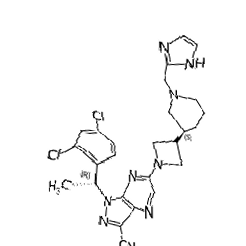 C[C@H](c1ccc(Cl)cc1Cl)n1nc(C#N)c2ncc(N3CC([C@@H]4CCCN(Cc5ncc[nH]5)C4)C3)nc21